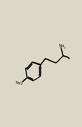 COc1ccc(CCC(C)N)cc1